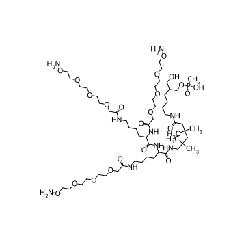 CC(C)(CNC(=O)C(CCCCNC(=O)COCCOCCOCCON)NC(=O)C(CCCCNC(=O)COCCOCCOCCON)NC(=O)COCCOCCOCCON)CC(C)(C)CC(=O)NCCCCC(CO)COP(C)(=O)O